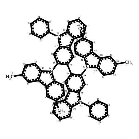 Cc1ccc2c(c1)c1cc(C)ccc1n2-c1cc2c(cc1-c1cc3c4ccccc4n(-c4ccccc4)c3cc1-n1c3ccc(C)cc3c3cc(C)ccc31)c1ccccc1n2-c1ccccc1